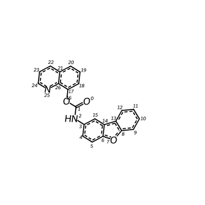 O=C(Nc1ccc2oc3ccccc3c2c1)Oc1cccc2cccnc12